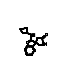 O=C1CC(C(=O)NC2CCC2)(c2ccccn2)CN1